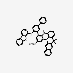 CCCCCc1cc(-c2cc(-c3ccccc3)ccc2Nc2cccc3c2oc2ccccc23)c2c(c1)N1c3cc4ccccc4cc3C(C)(C)c3cccc(c31)B2